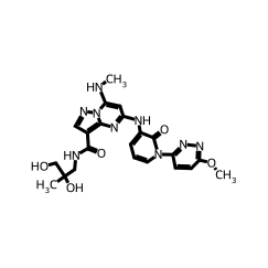 CNc1cc(Nc2cccn(-c3ccc(OC)nn3)c2=O)nc2c(C(=O)NCC(C)(O)CO)cnn12